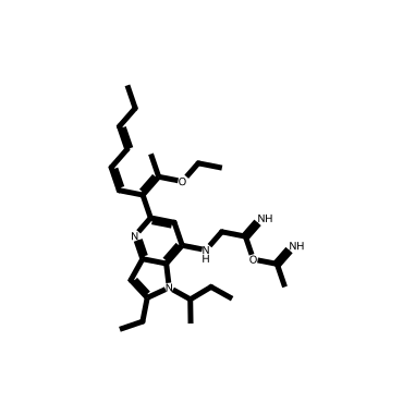 CC/C=C/C=C\C(=C(/C)OCC)c1cc(NCC(=N)OC(C)=N)c2c(cc(CC)n2C(C)CC)n1